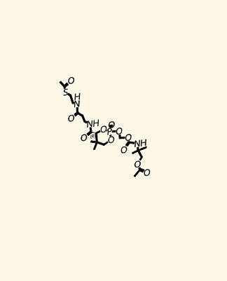 CC(=O)OCC(C)(C)NC(=O)OCOP1(=O)OCC(C)(C)[C@H](C(=O)NCCC(=O)NCCSC(C)=O)O1